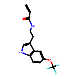 C=CC(=O)NCCc1c[nH]c2ccc(OC(F)(F)F)cc12